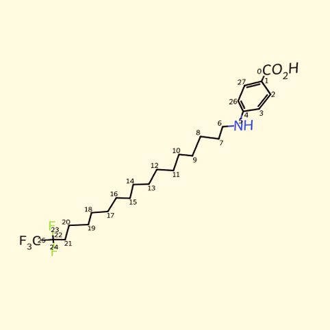 O=C(O)c1ccc(NCCCCCCCCCCCCCCCCC(F)(F)C(F)(F)F)cc1